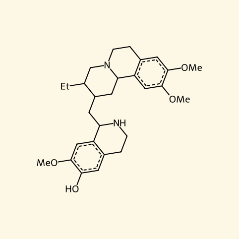 CCC1CN2CCc3cc(OC)c(OC)cc3C2CC1CC1NCCc2cc(O)c(OC)cc21